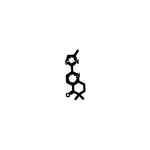 Cc1csc(-c2ccc3c(n2)CCC(C)(C)C3=O)n1